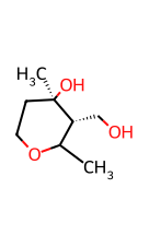 CC1OCC[C@@](C)(O)[C@@H]1CO